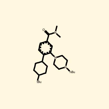 CCCCN1CCN(c2cc(C(=O)N(C)C)ccc2C2CCC(C(C)(C)C)CC2)CC1